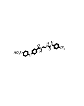 O=C(NCCNC(=O)c1ccc(O[C@H]2CC[C@@H](C(=O)O)CC2)cc1)Nc1ccc(C(F)(F)F)cc1